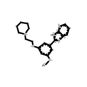 CC(C)Oc1cc(OCCN2CCCCC2)cc(-c2nc3cccnc3[nH]2)c1